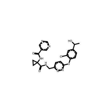 CC(O)c1ccc(Oc2ccc(CNC(=O)C3(NC(=O)c4cncnc4)CC3)nn2)c(Cl)c1